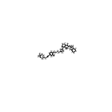 Cc1c(Nc2nc3ccccc3s2)nnc2c1CCCN2c1ncc(CCCOc2ccc(C#CCN3CCC(F)(F)CC3)cc2F)s1